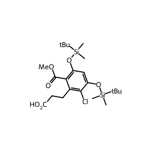 COC(=O)c1c(O[Si](C)(C)C(C)(C)C)cc(O[Si](C)(C)C(C)(C)C)c(Cl)c1CCC(=O)O